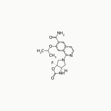 CC(C)Oc1cc2c(N3C[C@H]4NC(=O)O[C@@]4(F)C3)nccc2cc1C(N)=O